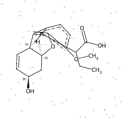 CCC(C(=O)O)N1CC[C@@]23C=C[C@H](O)C[C@@H]2Oc2c(OC)ccc(c23)C1